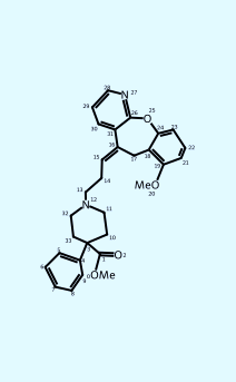 COC(=O)C1(c2ccccc2)CCN(CCC=C2Cc3c(OC)cccc3Oc3ncccc32)CC1